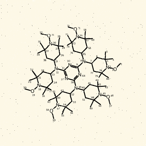 CON1C(C)(C)CC(N(c2nc(N(C3CC(C)(C)N(OC)C(C)(C)C3)C3CC(C)(C)N(OC)C(C)(C)C3)nc(N(C3CC(C)(C)N(OC)C(C)(C)C3)C3CC(C)(C)N(OC)C(C)(C)C3)n2)C2CC(C)(C)N(OC)C(C)(C)C2)CC1(C)C